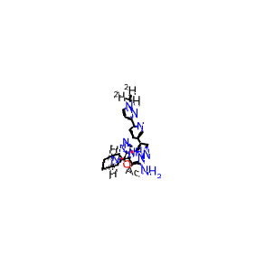 [2H]C([2H])([2H])n1ccc(-c2ccc(-c3cnn4c(N)c(C(C)=O)c([C@H]5C[C@H]6CC[C@@H](C5)N6C(=O)c5nnc[nH]5)nc34)cn2)n1